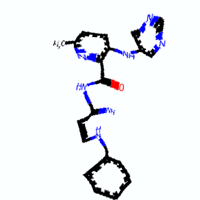 Cc1ccc(Nc2cncnc2)c(C(=O)NC(=N)/C=C\Nc2ccccc2)n1